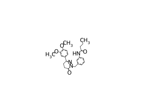 CCCC(=O)Nc1cccc(CN2N=C(c3ccc(OC)c(OC)c3)CCC2=O)c1